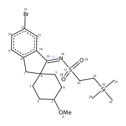 COC1CCC2(CC1)Cc1ccc(Br)cc1/C2=N/S(=O)(=O)CC[Si](C)(C)C